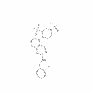 CS(=O)(=O)C1CN(S(C)(=O)=O)CCN1c1nccc2nc(NCc3ccccc3Cl)ncc12